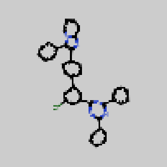 Clc1cc(-c2ccc(-c3nc4ccccn4c3-c3ccccc3)cc2)cc(-c2nc(-c3ccccc3)nc(-c3ccccc3)n2)c1